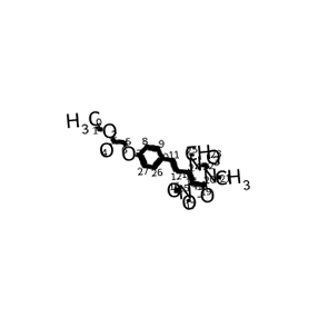 CCOC(=O)COc1ccc(C=Cc2c([N+](=O)[O-])c(=O)n(C)c(=O)n2C)cc1